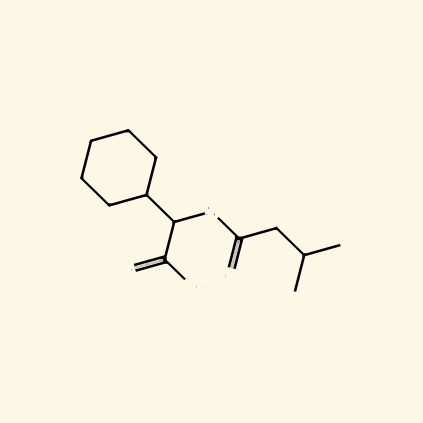 CC(C)CC(=O)NC(C(=O)O)C1CCCCC1